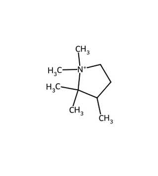 CC1CC[N+](C)(C)C1(C)C